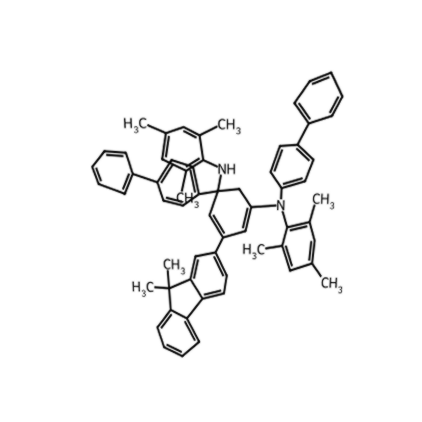 Cc1cc(C)c(NC2(c3ccc(-c4ccccc4)cc3)C=C(c3ccc4c(c3)C(C)(C)c3ccccc3-4)C=C(N(c3ccc(-c4ccccc4)cc3)c3c(C)cc(C)cc3C)C2)c(C)c1